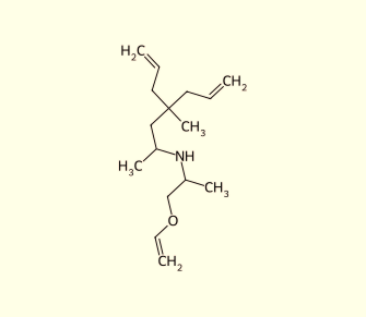 C=CCC(C)(CC=C)CC(C)NC(C)COC=C